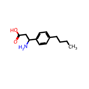 CCCCc1ccc(C(N)CC(=O)O)cc1